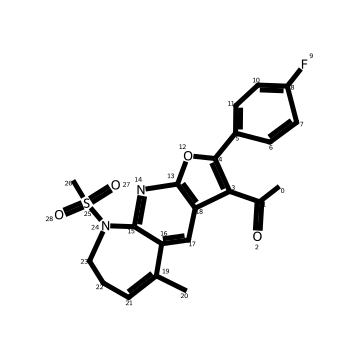 CC(=O)c1c(-c2ccc(F)cc2)oc2nc3c(cc12)C(C)=CCCN3S(C)(=O)=O